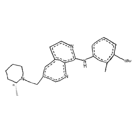 Cc1c(Nc2nccc3cc(CN4CCCC[C@H]4C)cnc23)cccc1C(C)(C)C